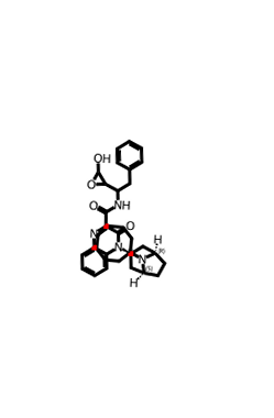 O=C(NC(Cc1ccccc1)C1OC1O)c1nc2ccccc2n([C@H]2C[C@H]3CC[C@@H](C2)N3C2CCCCCCC2)c1=O